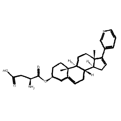 C[C@]12CC[C@H](OC(=O)[C@@H](N)CC(=O)O)CC1=CC[C@@H]1[C@@H]2CC[C@]2(C)C(c3cccnc3)=CC[C@@H]12